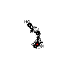 CC[C@]1(C)C[C@@H](OC(=O)COc2cccc(CNC(=O)[C@@H](N)Cc3ccc(O)cc3)c2)[C@]2(C)C(C)CCC3(CCC(=O)C32)[C@@H](C)[C@@H]1O